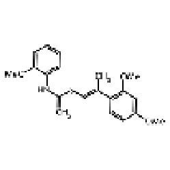 C=C(Nc1ccccc1OC)S/C=C(\C)c1ccc(OC)cc1OC